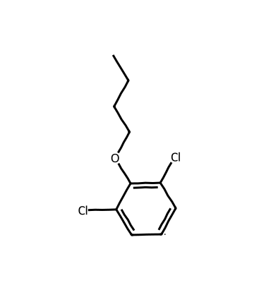 CCCCOc1c(Cl)c[c]cc1Cl